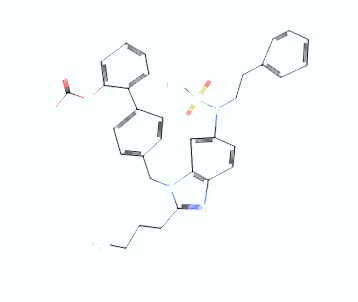 CCCCc1nc2ccc(N(CCc3ccccc3)S(C)(=O)=O)cc2n1Cc1ccc(-c2ccccc2OC(=O)O)cc1